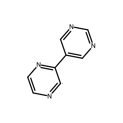 [c]1nccnc1-c1cncnc1